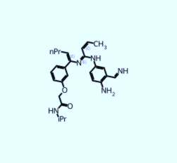 C\C=C/C(=N\C(=C\CCC)c1cccc(OCC(=O)NC(C)C)c1)Nc1ccc(N)c(C=N)c1